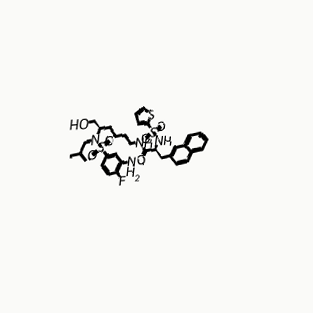 CC(C)CN([C@@H](CO)CCCCNC(=O)[C@H](Cc1ccc2ccccc2c1)NS(=O)(=O)c1cccs1)S(=O)(=O)c1ccc(F)c(N)c1